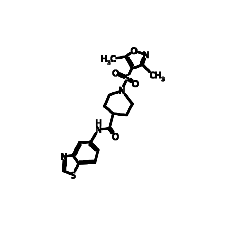 Cc1noc(C)c1S(=O)(=O)N1CCC(C(=O)Nc2ccc3scnc3c2)CC1